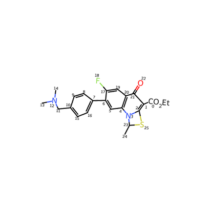 CCOC(=O)c1c2n(c3cc(-c4ccc(CN(C)C)cc4)c(F)cc3c1=O)C(C)S2